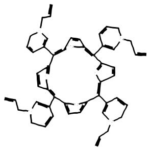 C=CCN1C=C(c2c3nc(c(C4=CN(CC=C)CC=C4)c4ccc([nH]4)c(C4=CN(CC=C)CC=C4)c4nc(c(C5=CN(CC=C)CC=C5)c5ccc2[nH]5)C=C4)C=C3)C=CC1